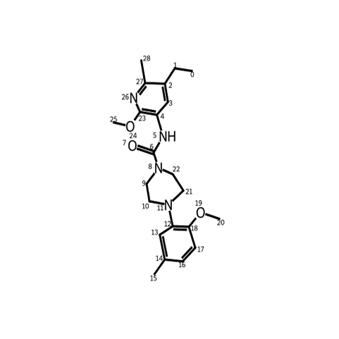 CCc1cc(NC(=O)N2CCN(c3cc(C)ccc3OC)CC2)c(OC)nc1C